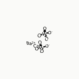 [Ba+2].[Ca+2].[O]=[W](=[O])([O-])[O-].[O]=[W](=[O])([O-])[O-]